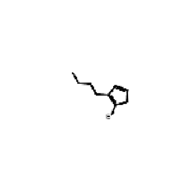 CCCCC1=[C]([Er])CC=C1